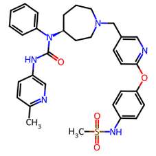 Cc1ccc(NC(=O)N(c2ccccc2)[C@H]2CCCN(Cc3ccc(Oc4ccc(NS(C)(=O)=O)cc4)nc3)CC2)cn1